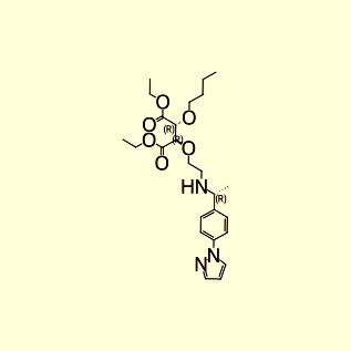 CCCCO[C@@H](C(=O)OCC)[C@@H](OCCN[C@H](C)c1ccc(-n2cccn2)cc1)C(=O)OCC